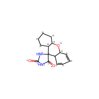 O=C1NC(=O)C2(N1)C1C=CC=CC1OC1CCCCC12